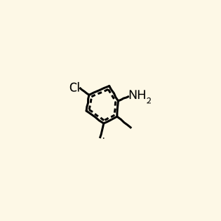 [CH2]c1cc(Cl)cc(N)c1C